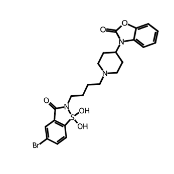 O=C1c2cc(Br)ccc2S(O)(O)N1CCCCN1CCC(n2c(=O)oc3ccccc32)CC1